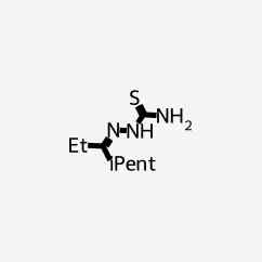 CCCC(C)/C(CC)=N\NC(N)=S